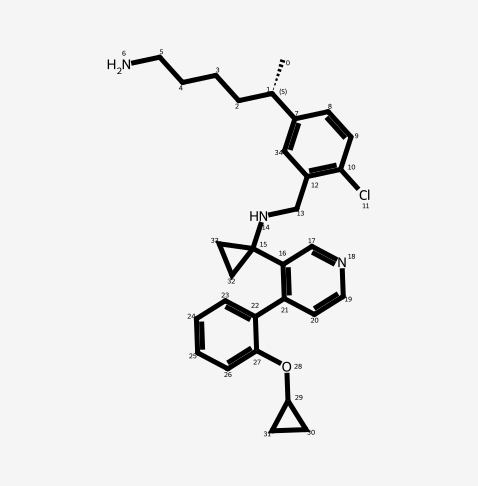 C[C@@H](CCCCN)c1ccc(Cl)c(CNC2(c3cnccc3-c3ccccc3OC3CC3)CC2)c1